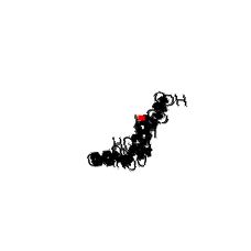 CC(C)C1=C2[C@H]3CC[C@@H]4[C@@]5(C)CC[C@H](OC(=O)[C@H]6C[C@@H](C(=O)O)C6(C)C)C(C)(C)[C@@H]5CC[C@@]4(C)[C@]3(C)CC[C@@]2([C@@H](O)CNC(=O)C(C)(C)NC(=O)c2ccc(N3CCOCC3)cc2)CC1=O